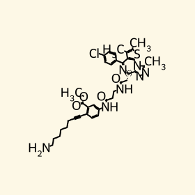 COC(=O)c1cc(NC(=O)CCNC(=O)C[C@@H]2N=C(c3ccc(Cl)cc3)c3c(sc(C)c3C)-n3c(C)nnc32)ccc1C#CCCCCCCN